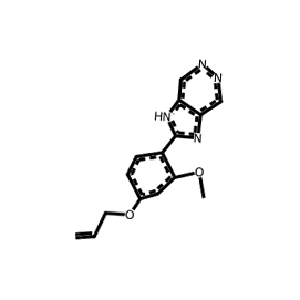 C=CCOc1ccc(-c2nc3cnncc3[nH]2)c(OC)c1